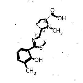 Cc1cccc(C2=N[C@H]([C@@H]3SC[C@H](C(=O)O)N3C)CS2)c1O